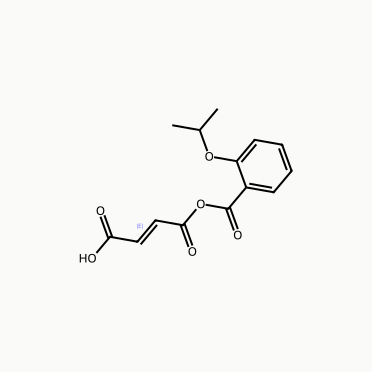 CC(C)Oc1ccccc1C(=O)OC(=O)/C=C/C(=O)O